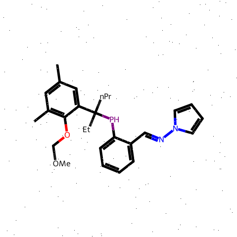 CCCC(CC)(Pc1ccccc1/C=N/n1cccc1)c1cc(C)cc(C)c1OCOC